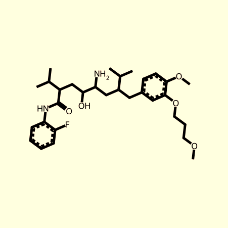 COCCCOc1cc(CC(CC(N)C(O)CC(C(=O)Nc2ccccc2F)C(C)C)C(C)C)ccc1OC